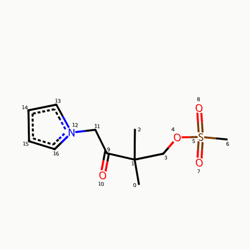 CC(C)(COS(C)(=O)=O)C(=O)Cn1cccc1